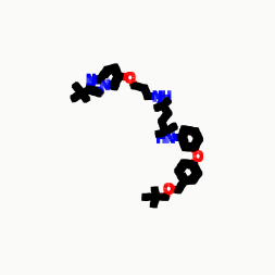 CC(C)(C)COCc1ccc(Oc2cccc(NC(C)(C)CCC(C)(C)NCCCOc3ccc4nc(C(C)(C)C)cn4c3)c2)cc1